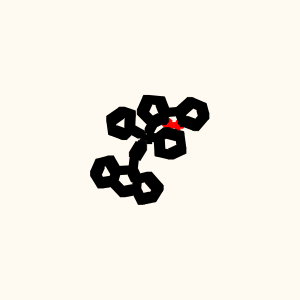 C(#C[Si](c1ccccc1)(c1ccccc1)c1cccc2c1oc1ccccc12)c1c2ccccc2cc2ccccc12